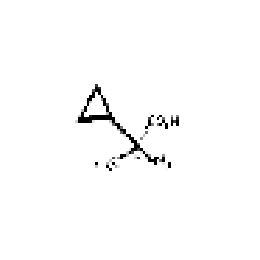 C[C@@](N)(C(=O)O)C1CC1